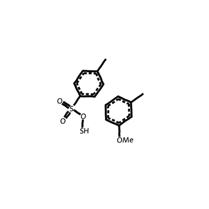 COc1cccc(C)c1.Cc1ccc(S(=O)(=O)OS)cc1